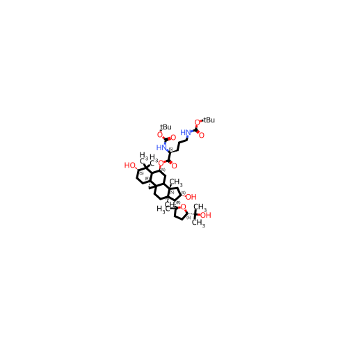 CC(C)(C)OC(=O)NCCC[C@H](NC(=O)OC(C)(C)C)C(=O)O[C@H]1CC2C3(CC[C@]4(C)[C@@H]([C@@]5(C)CC[C@@H](C(C)(C)O)O5)[C@@H](O)C[C@@]24C)C[C@@]32CC[C@H](O)C(C)(C)C12